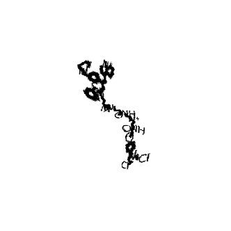 C[n+]1ccc(/C=C(/C=C2\Sc3ccccc3N2CCc2cn(CCCC(=O)NCC[N+](C)(C)CCNC(=O)COc3ccc(N(CCCl)CCCl)cc3)nn2)c2ccc(CN3CCCCC3)cc2)c2ccccc21